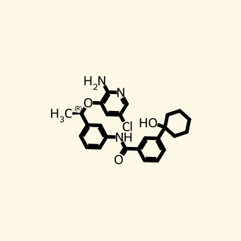 C[C@@H](Oc1cc(Cl)cnc1N)c1cccc(NC(=O)c2cccc(C3(O)CCCCC3)c2)c1